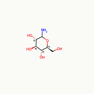 NC1O[C@@H](CO)[C@H](O)[C@@H](O)[C@@H]1O